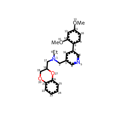 CCN(Cc1cncc(-c2ccc(OC)cc2OC)c1)CC1COc2ccccc2O1